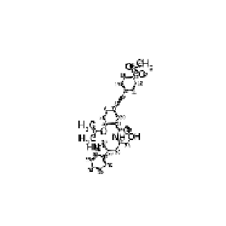 CC(C)Oc1ccc(C#Cc2ccc(S(C)(=O)=O)cc2)cc1C(=O)N[C@@H](CO)Cc1c[nH]c2ccccc12